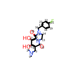 CN(C)Cc1c(O)c(O)c2n(c1=O)CCN(Cc1ccc(F)cc1)C2=O